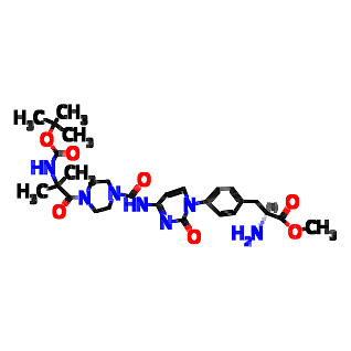 COC(=O)[C@H](N)Cc1ccc(-n2ccc(NC(=O)N3CCN(C(=O)C(C)(C)NC(=O)OC(C)(C)C)CC3)nc2=O)cc1